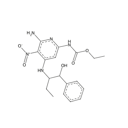 CCOC(=O)Nc1cc(NC(CC)C(O)c2ccccc2)c([N+](=O)[O-])c(N)n1